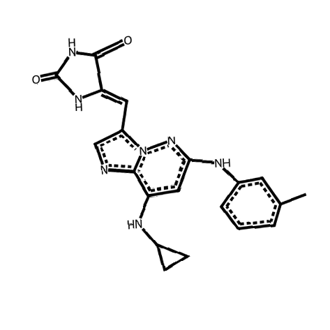 Cc1cccc(Nc2cc(NC3CC3)c3ncc(/C=C4\NC(=O)NC4=O)n3n2)c1